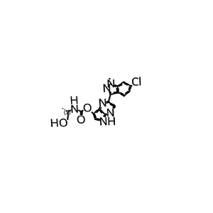 C[C@@H](CO)NC(=O)Oc1c[nH]c2ncc(-c3nn(C)c4cc(Cl)ccc34)nc12